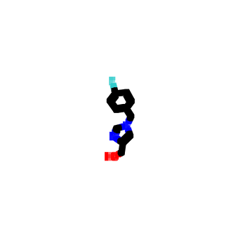 OCc1cn(Cc2ccc(F)cc2)cn1